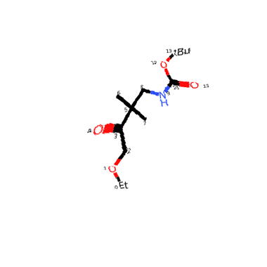 CCOCC(=O)C(C)(C)CNC(=O)OC(C)(C)C